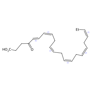 CC/C=C\C/C=C\C/C=C\C/C=C\C/C=C\C=C\C(=O)CCC(=O)O